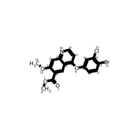 COC(=O)c1cc2c(Oc3ccc(Br)c(Cl)c3)ccnc2cc1OC